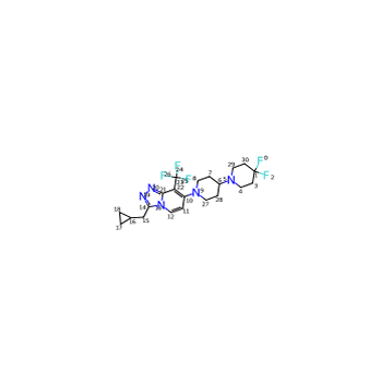 FC1(F)CCN(C2CCN(c3ccn4c(CC5CC5)nnc4c3C(F)(F)F)CC2)CC1